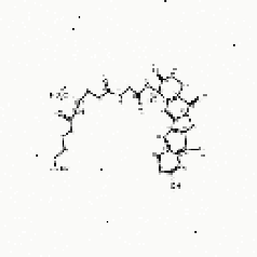 CCCCCCCCCCCCCCC(=O)N[C@@H](CCC(=O)NCC(=O)O[C@]1(CC)C(=O)OCc2c1cc1n(c2=O)Cc2c-1nc1ccc(O)cc1c2CC)C(=O)O